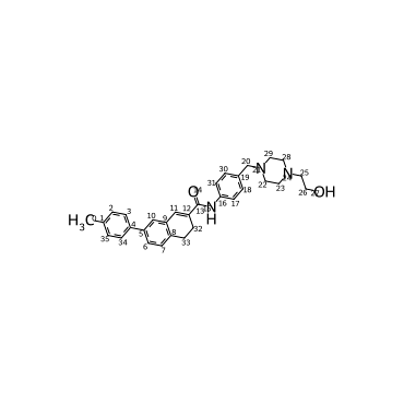 Cc1ccc(-c2ccc3c(c2)C=C(C(=O)Nc2ccc(CN4CCN(CCO)CC4)cc2)CC3)cc1